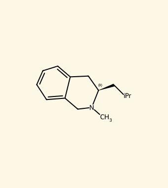 CC(C)C[C@@H]1Cc2ccccc2CN1C